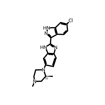 C[C@H]1CN(C)CCN1c1ccc2nc(-c3n[nH]c4cc(Cl)ccc34)[nH]c2c1